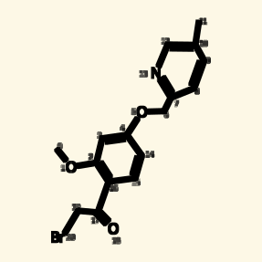 COc1cc(OCc2ccc(C)cn2)ccc1C(=O)CBr